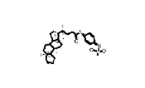 C[C@H](CCC(=O)N=C1C=CC(=NS(C)(=O)=O)C=C1)[C@H]1CCC2C3CC[C@@H]4CCCC[C@]4(C)C3CC[C@@]21C